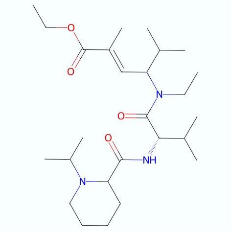 CCOC(=O)/C(C)=C/C(C(C)C)N(CC)C(=O)[C@@H](NC(=O)C1CCCCN1C(C)C)C(C)C